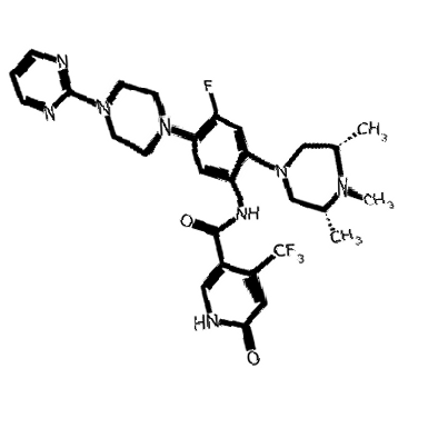 C[C@@H]1CN(c2cc(F)c(N3CCN(c4ncccn4)CC3)cc2NC(=O)c2c[nH]c(=O)cc2C(F)(F)F)C[C@H](C)N1C